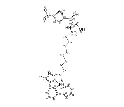 Cn1cc([PH](CCCCCCCCCCC(=O)N[C@H](CO)[C@H](O)c2ccc([N+](=O)[O-])cc2)(c2ccccc2)c2ccccc2)cn1